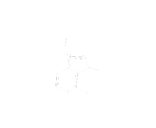 Fc1cccc2c1c(I)nn2PI